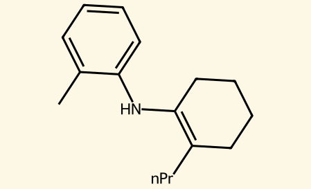 CCCC1=C(Nc2ccccc2C)CCCC1